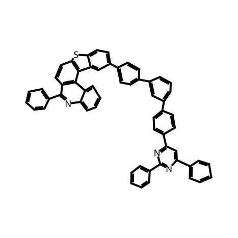 c1ccc(-c2cc(-c3ccc(-c4cccc(-c5ccc(-c6ccc7sc8ccc9c(-c%10ccccc%10)nc%10ccccc%10c9c8c7c6)cc5)c4)cc3)nc(-c3ccccc3)n2)cc1